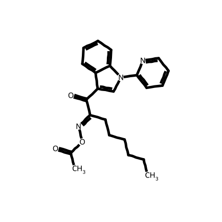 CCCCCC/C(=N\OC(C)=O)C(=O)c1cn(-c2ccccn2)c2ccccc12